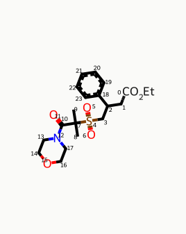 CCOC(=O)CC(CS(=O)(=O)C(C)(C)C(=O)N1CCOCC1)c1ccccc1